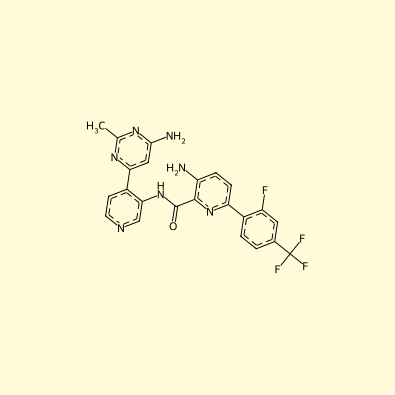 Cc1nc(N)cc(-c2ccncc2NC(=O)c2nc(-c3ccc(C(F)(F)F)cc3F)ccc2N)n1